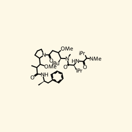 CCC(C)[C@@H](C(CC(=O)N1CCCC1C(OC)C(C)C(=O)N[C@H](C)Cc1ccccc1)OC)N(C)C(=O)[C@@H](NC(=O)C(NC)C(C)C)C(C)C